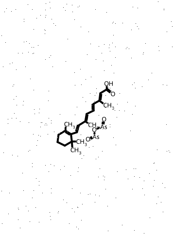 CC1=C(/C=C/C(C)=C/C=C/C(C)=C/C(=O)O)C(C)(C)CCC1.O=[As]O[As]=O